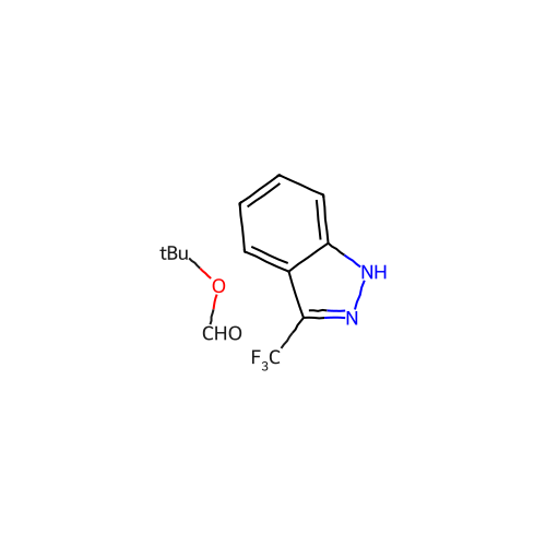 CC(C)(C)OC=O.FC(F)(F)c1n[nH]c2ccccc12